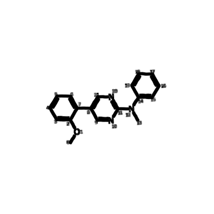 COc1ccccc1-c1cnc(N(C)c2ccccc2)nc1